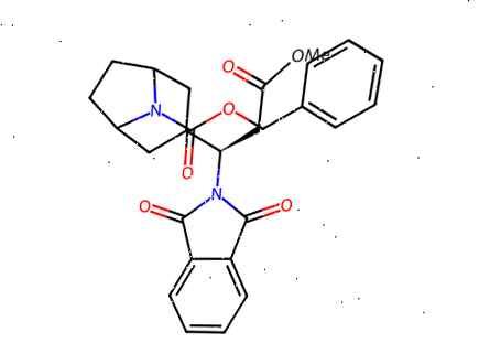 COC(=O)C[C@H](C1CC2CCC(C1)N2C(=O)OCc1ccccc1)N1C(=O)c2ccccc2C1=O